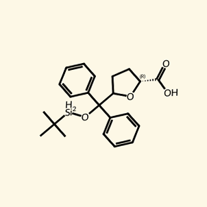 CC(C)(C)[SiH2]OC(c1ccccc1)(c1ccccc1)C1CC[C@H](C(=O)O)O1